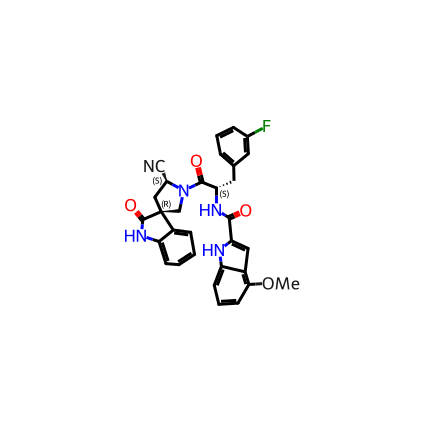 COc1cccc2[nH]c(C(=O)N[C@@H](Cc3cccc(F)c3)C(=O)N3C[C@]4(C[C@H]3C#N)C(=O)Nc3ccccc34)cc12